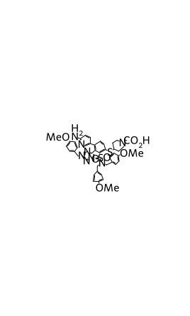 COc1ccc(CN(Cc2ccc(OC)cc2)S(=O)(=O)c2c(SC3CCN(C(=O)O)CC3)ccc(-c3ccc(N)nc3)c2-c2nnn(Cc3ccc(OC)cc3)n2)cc1